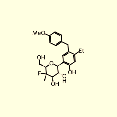 CCc1cc(O)c([C@@H]2O[C@H](CO)[C@@](C)(F)[C@H](O)[C@H]2O)cc1Cc1ccc(OC)cc1